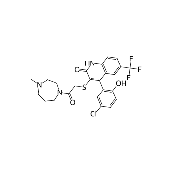 CN1CCCN(C(=O)CSc2c(-c3cc(Cl)ccc3O)c3cc(C(F)(F)F)ccc3[nH]c2=O)CC1